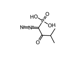 CC(C)C(=O)C(=[N+]=[N-])P(=O)(O)O